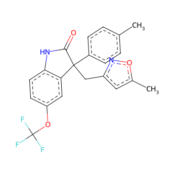 Cc1ccc(C2(Cc3cc(C)on3)C(=O)Nc3ccc(OC(F)(F)F)cc32)cc1